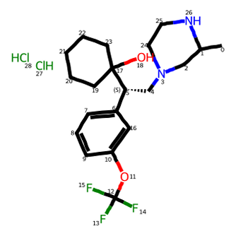 CC1CN(C[C@H](c2cccc(OC(F)(F)F)c2)C2(O)CCCCC2)CCN1.Cl.Cl